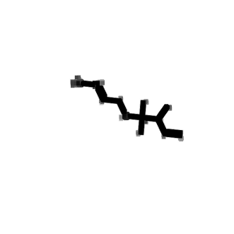 C=CC(C)C(C)(C)OC/C=N/O